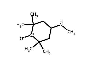 CNC1CC(C)(C)[S+]([O-])C(C)(C)C1